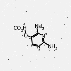 Nc1ncc(OC(=O)O)c(N)n1